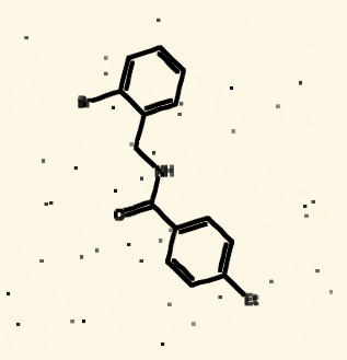 [CH2]Cc1ccc(C(=O)NCc2ccccc2Br)cc1